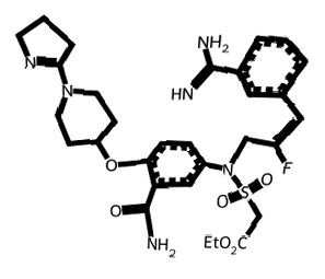 CCOC(=O)CS(=O)(=O)N(C/C(F)=C\c1cccc(C(=N)N)c1)c1ccc(OC2CCN(C3=NCCC3)CC2)c(C(N)=O)c1